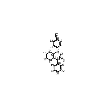 CN(C)C(C1=C(Cc2ccc(F)cc2)CCCC1)c1ccccc1